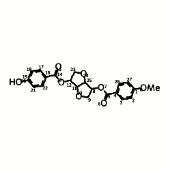 COc1ccc(C(=O)OC2COC3C(OC(=O)c4ccc(O)cc4)COC23)cc1